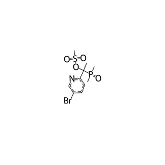 CC(OS(C)(=O)=O)(c1ccc(Br)cn1)P(C)(C)=O